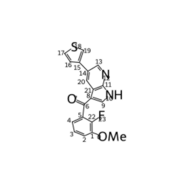 COc1cccc(C(=O)c2c[nH]c3ncc(-c4ccsc4)cc23)c1F